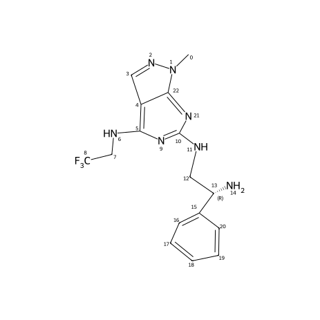 Cn1ncc2c(NCC(F)(F)F)nc(NC[C@H](N)c3ccccc3)nc21